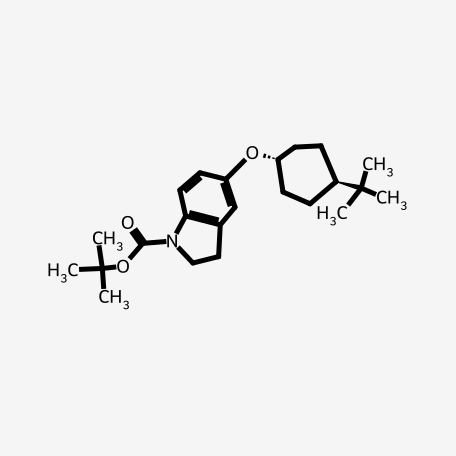 CC(C)(C)OC(=O)N1CCc2cc(O[C@H]3CC[C@H](C(C)(C)C)CC3)ccc21